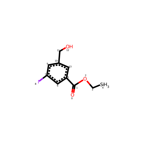 O=C(OC[SiH3])c1cc(I)cc(CO)c1